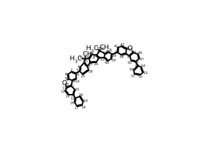 CC1(C)c2cc(-c3ccc4oc5ccc(-c6ccccc6)cc5c4c3)ccc2-c2cc3c(cc21)C(C)(C)c1cc(-c2ccc4oc5ccc(-c6ccccc6)cc5c4c2)ccc1-3